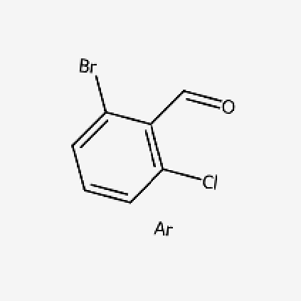 O=Cc1c(Cl)cccc1Br.[Ar]